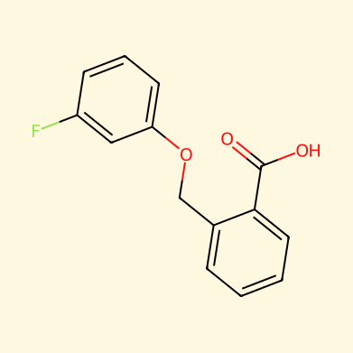 O=C(O)c1ccccc1COc1cccc(F)c1